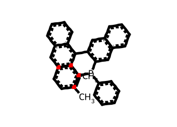 CC=C(C)c1ccc2ccccc2c1-c1cc2ccccc2cc1P(c1ccccc1)c1ccccc1